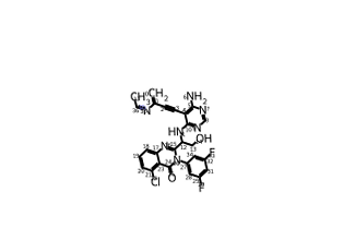 C=C(C#Cc1c(N)ncnc1NC(CO)c1nc2cccc(Cl)c2c(=O)n1-c1cc(F)cc(F)c1)/N=C\C